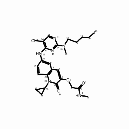 CNC(=O)COc1cc2cc(Nc3nc(N(C)CCCCI)ncc3Cl)ccc2n(C2CC2)c1=O